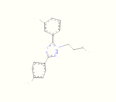 COc1ccc(-c2nc(-c3cccc(C=O)c3)n(CCCO)n2)cc1